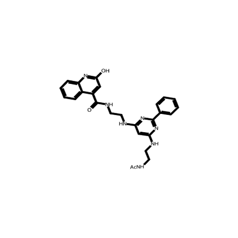 CC(=O)NCCNc1cc(NCCNC(=O)c2cc(O)nc3ccccc23)nc(-c2ccccc2)n1